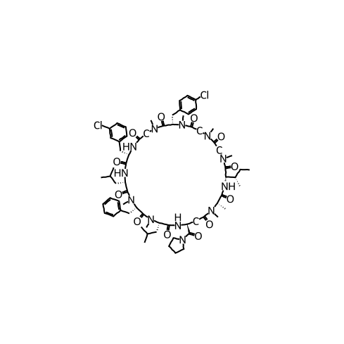 CC[C@H](C)[C@@H]1NC(=O)[C@H](C)N(C)C(=O)C[C@@H](C(=O)N2CCCC2)NC(=O)[C@H](CC(C)C)N(C)C(=O)[C@H](Cc2ccccc2)N(C)C(=O)[C@H](CC(C)C)NC(=O)[C@H](Cc2cccc(Cl)c2)NC(=O)CN(C)C(=O)[C@H](Cc2ccc(Cl)cc2)N(C)C(=O)CN(C)C(=O)CN(C)C1=O